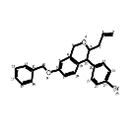 C=CCC1OCc2cc(OCc3ccccc3)ccc2C1c1ccc(Br)cc1